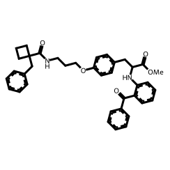 COC(=O)C(Cc1ccc(OCCCNC(=O)C2(Cc3ccccc3)CCC2)cc1)Nc1ccccc1C(=O)c1ccccc1